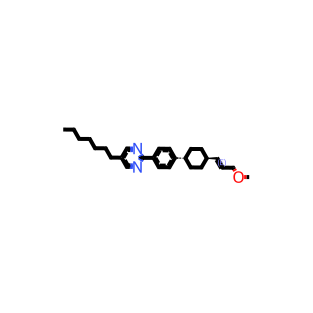 CCCCCCCc1cnc(-c2ccc([C@H]3CC[C@H](/C=C/COC)CC3)cc2)nc1